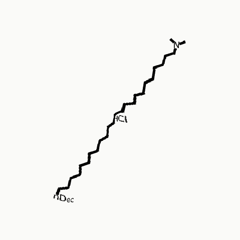 CCCCCCCCCCCCCCCCCCCCCCCCCCCCCCCCCCN(C)C.Cl